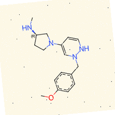 CN[C@@H]1CCN(C2=CN(Cc3ccc(OC)cc3)NC=C2)C1